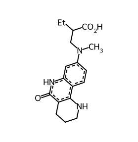 CCC(CN(C)c1ccc2c3c(c(=O)[nH]c2c1)CCCN3)C(=O)O